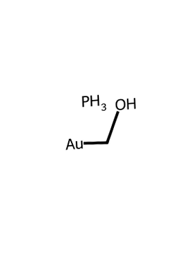 O[CH2][Au].P